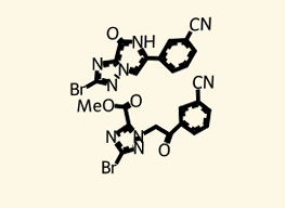 COC(=O)c1nc(Br)nn1CC(=O)c1cccc(C#N)c1.N#Cc1cccc(-c2cn3nc(Br)nc3c(=O)[nH]2)c1